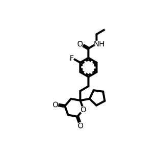 CCNC(=O)c1ccc(CCC2(C3CCCC3)CC(=O)CC(=O)O2)cc1F